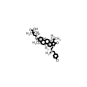 CC(C)C1=C2[C@H]3CC[C@@H]4[C@@]5(C)CC[C@H](OC(=O)CC(C)(C)C(=O)O)[C@H](C)[C@@H]5CC[C@@]4(C)[C@]3(C)CC[C@@]2(CCN(C)Cc2ccc(Cl)cc2)CC1=O